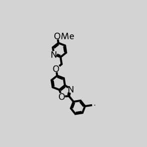 [CH2]c1cccc(-c2nc3cc(OCc4ccc(OC)cn4)ccc3o2)c1